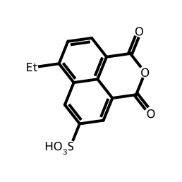 CCc1ccc2c3c(cc(S(=O)(=O)O)cc13)C(=O)OC2=O